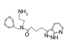 NCCN(Cc1ccccc1)C(=O)CCCc1n[nH]c2ncccc12